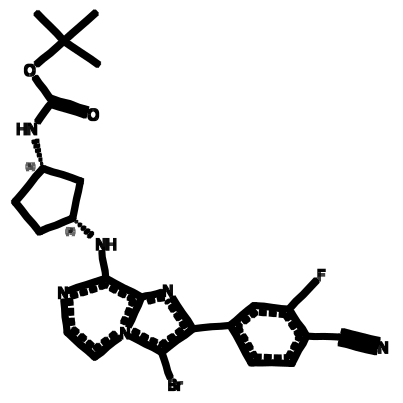 CC(C)(C)OC(=O)N[C@H]1CC[C@@H](Nc2nccn3c(Br)c(-c4ccc(C#N)c(F)c4)nc23)C1